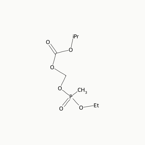 CCOP(C)(=O)OCOC(=O)OC(C)C